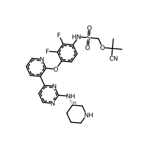 CC(C)(C#N)OCS(=O)(=O)Nc1ccc(Oc2ncccc2-c2ccnc(N[C@H]3CCCNC3)n2)c(F)c1F